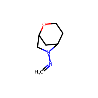 C=NN1CC2CC1CCO2